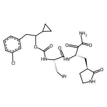 CC(C)C[C@H](NC(=O)OC(Cc1cccc(Cl)c1)C1CC1)C(=O)N[C@@H](C[C@@H]1CCNC1=O)C(=O)C(N)=O